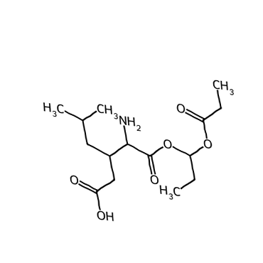 CCC(=O)OC(CC)OC(=O)C(N)C(CC(=O)O)CC(C)C